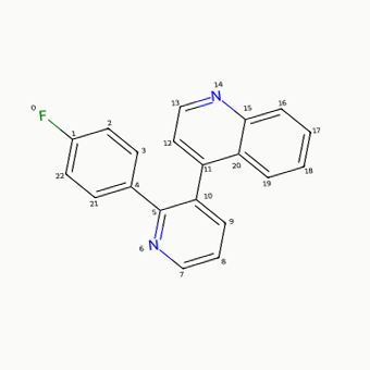 Fc1ccc(-c2ncccc2-c2ccnc3ccccc23)cc1